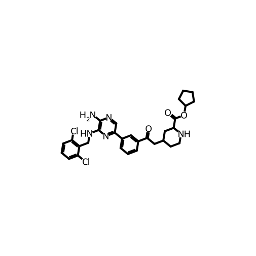 Nc1ncc(-c2cccc(C(=O)CC3CCNC(C(=O)OC4CCCC4)C3)c2)nc1NCc1c(Cl)cccc1Cl